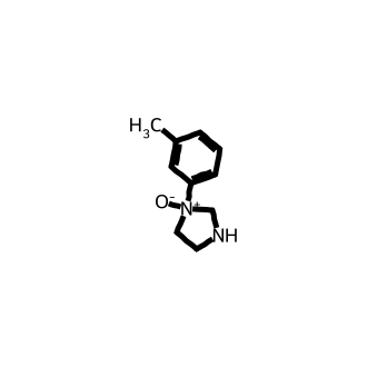 Cc1cccc([N+]2([O-])CCNC2)c1